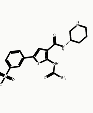 CS(=O)(=O)c1cccc(-c2cc(C(=O)N[C@H]3CCCNC3)c(NC(N)=O)s2)c1